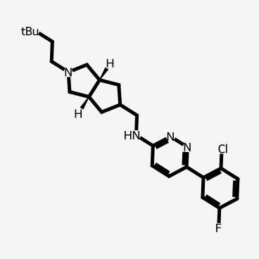 CC(C)(C)CCN1C[C@H]2CC(CNc3ccc(-c4cc(F)ccc4Cl)nn3)C[C@H]2C1